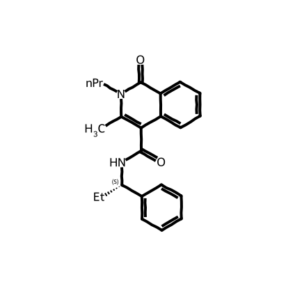 CCCn1c(C)c(C(=O)N[C@@H](CC)c2ccccc2)c2ccccc2c1=O